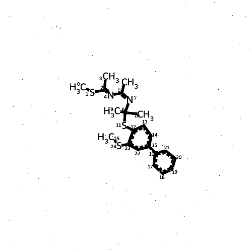 CS/C(C)=N/C(C)=N\C(C)(C)Sc1ccc(-c2ccccc2)cc1SC